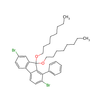 CCCCCCCCOC1(OCCCCCCCC)c2cc(Br)ccc2-c2ccc(Br)c(-c3ccccc3)c21